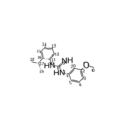 COc1cccc(NC(=N)Nc2ccccc2C(C)C)c1